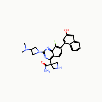 CN(C)C1CN(c2nc(C3(C(N)=O)CNC3)c3ccc(-c4cc(O)cc5ccccc45)c(F)c3n2)C1